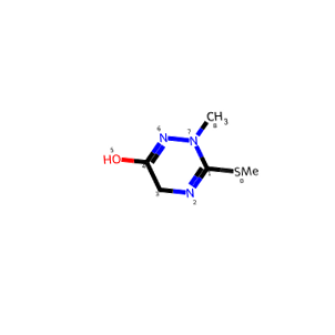 [CH2]SC1=NCC(O)=NN1C